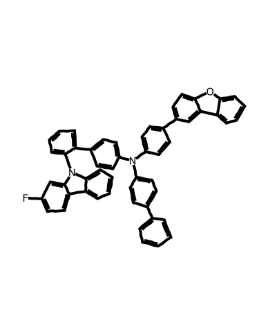 Fc1ccc2c3ccccc3n(-c3ccccc3-c3ccc(N(c4ccc(-c5ccccc5)cc4)c4ccc(-c5ccc6oc7ccccc7c6c5)cc4)cc3)c2c1